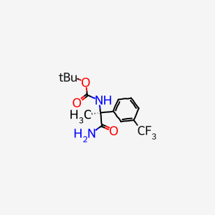 CC(C)(C)OC(=O)N[C@](C)(C(N)=O)c1cccc(C(F)(F)F)c1